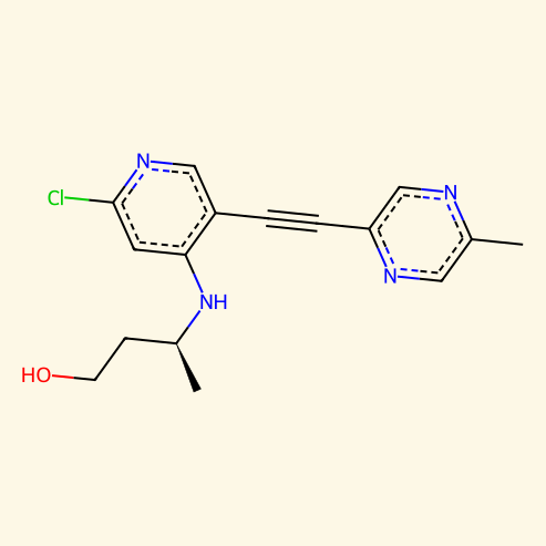 Cc1cnc(C#Cc2cnc(Cl)cc2N[C@@H](C)CCO)cn1